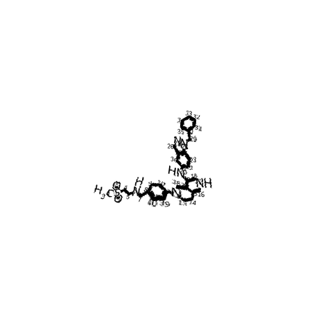 CS(=O)(=O)CCNCc1ccc(N2C=CC3=CNC=C(Nc4ccc5c(cnn5Cc5ccccc5)c4)C3=C2)cc1